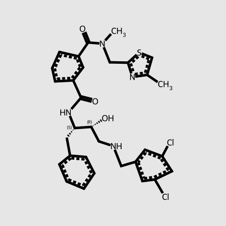 Cc1csc(CN(C)C(=O)c2cccc(C(=O)N[C@@H](Cc3ccccc3)[C@H](O)CNCc3cc(Cl)cc(Cl)c3)c2)n1